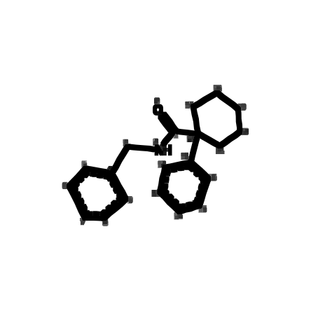 O=C(NCc1ccccc1)C1(c2ccccc2)CCCCC1